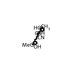 COc1cc(/C=C/C=C(\C#N)C(=O)NCc2cccc(C)c2O)ccc1O